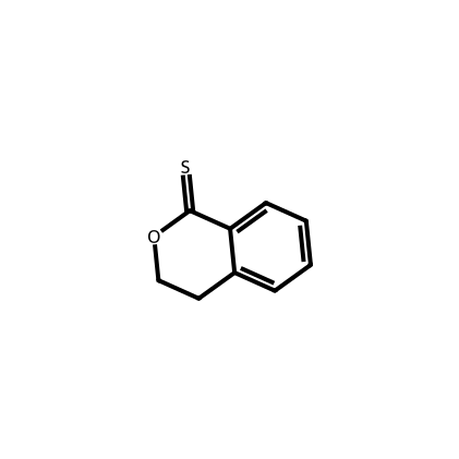 S=C1OCCc2ccccc21